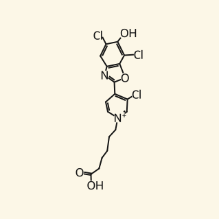 O=C(O)CCCCC[n+]1ccc(-c2nc3cc(Cl)c(O)c(Cl)c3o2)c(Cl)c1